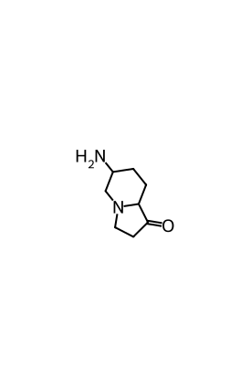 NC1CCC2C(=O)CCN2C1